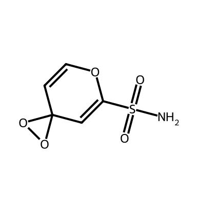 NS(=O)(=O)C1=CC2(C=CO1)OO2